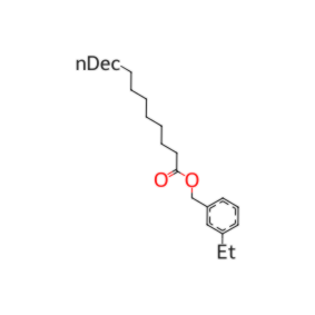 CCCCCCCCCCCCCCCCCC(=O)OCc1cccc(CC)c1